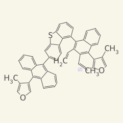 C=Cc1c(/C=C\C)c(-c2cocc2C)c2ccccc2c1-c1cccc2sc3cc(-c4c5ccccc5c(-c5cocc5C)c5ccccc45)ccc3c12